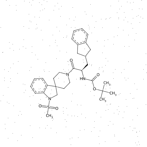 CC(C)(C)OC(=O)N[C@H](CC1Cc2ccccc2C1)C(=O)N1CCC2(CC1)CN(S(C)(=O)=O)c1ccccc12